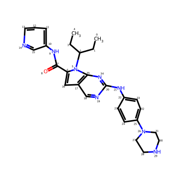 CCC(CC)n1c(C(=O)Nc2cccnc2)cc2cnc(Nc3ccc(N4CCNCC4)cc3)nc21